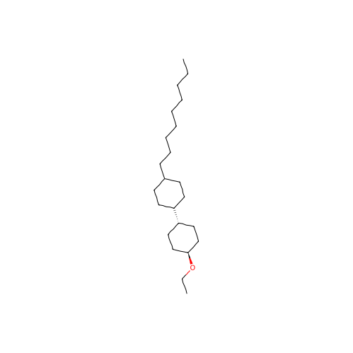 CCCCCCCCCC1CCC([C@H]2CC[C@H](OCC)CC2)CC1